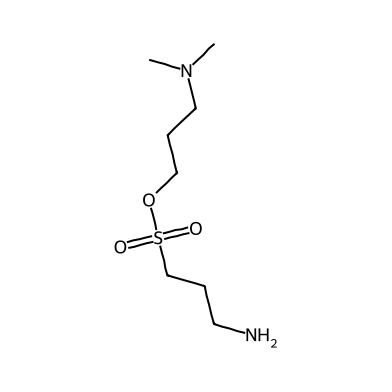 CN(C)CCCOS(=O)(=O)CCCN